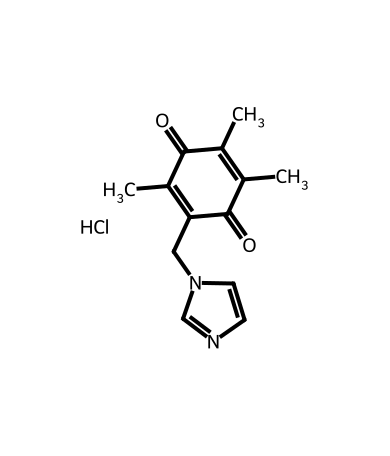 CC1=C(C)C(=O)C(Cn2ccnc2)=C(C)C1=O.Cl